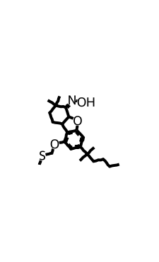 CCCCC(C)(C)c1cc(OCSC)c2c(c1)OC1C(=NO)C(C)(C)CCC21